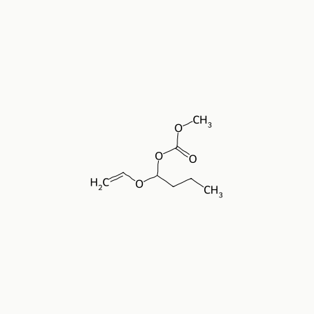 C=COC(CCC)OC(=O)OC